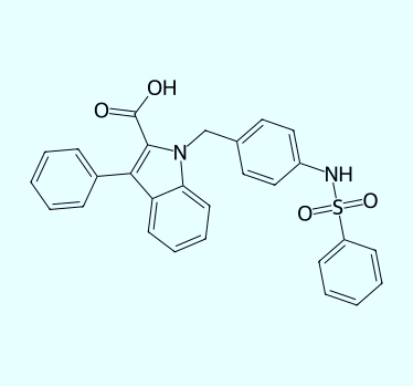 O=C(O)c1c(-c2ccccc2)c2ccccc2n1Cc1ccc(NS(=O)(=O)c2ccccc2)cc1